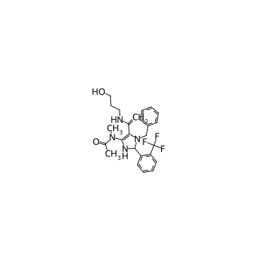 C=C(NCCCO)C1=C(N(C)C(C)=O)NC(c2ccccc2C(F)(F)F)N1Cc1ccccc1